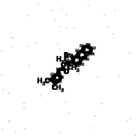 CC1C2CC(CC(=O)OC(C)(C)c3ccc4cc5ccccc5cc4c3Br)C(C2)C1C